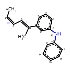 C/C=C\C=C(/C)c1cccc(Nc2ccccc2)c1